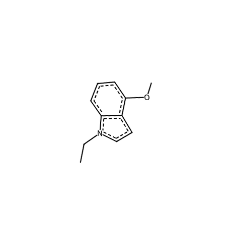 CCn1ccc2c(OC)cccc21